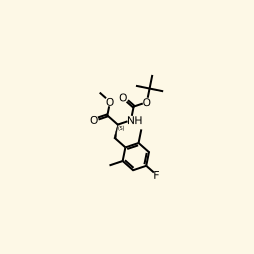 COC(=O)[C@H](Cc1c(C)cc(F)cc1C)NC(=O)OC(C)(C)C